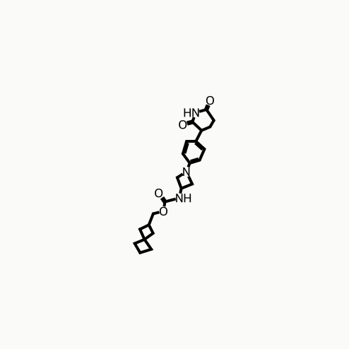 O=C1CCC(c2ccc(N3CC(NC(=O)OCC4CC5(CCC5)C4)C3)cc2)C(=O)N1